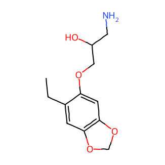 CCc1cc2c(cc1OCC(O)CN)OCO2